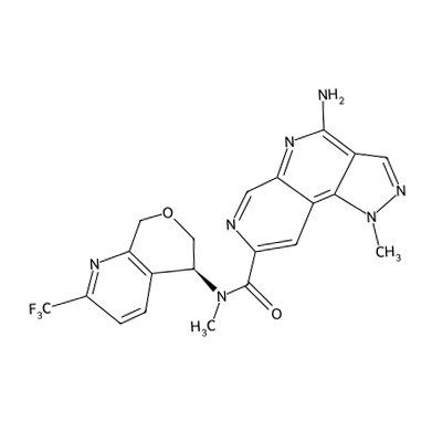 CN(C(=O)c1cc2c(cn1)nc(N)c1cnn(C)c12)[C@@H]1COCc2nc(C(F)(F)F)ccc21